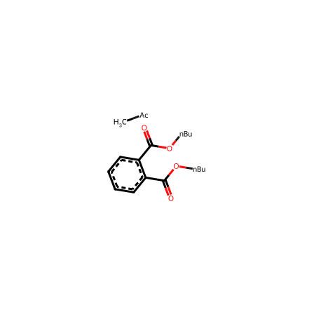 CC(C)=O.CCCCOC(=O)c1ccccc1C(=O)OCCCC